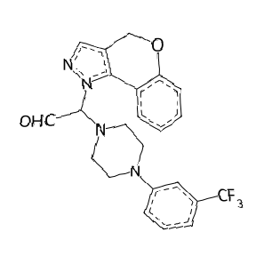 O=CC(N1CCN(c2cccc(C(F)(F)F)c2)CC1)n1ncc2c1-c1ccccc1OC2